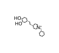 Oc1ccc(/C=C/c2cc[n+](Cc3ccccc3)cc2)cc1O